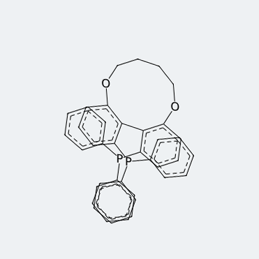 c1ccc(P(c2ccccc2)c2cccc3c2-c2c(cccc2P(c2ccccc2)c2ccccc2)OCCCCO3)cc1